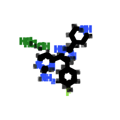 Cl.Cl.Cl.Nc1nccc(-c2[nH]c(C3CCNCC3)nc2-c2ccc(F)cc2)n1